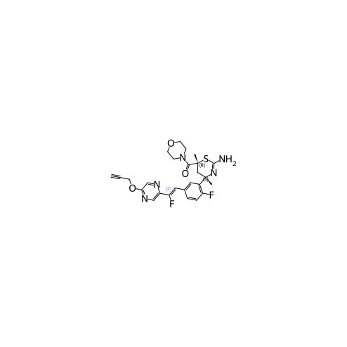 C#CCOc1cnc(/C(F)=C/c2ccc(F)c([C@]3(C)C[C@](C)(C(=O)N4CCOCC4)SC(N)=N3)c2)cn1